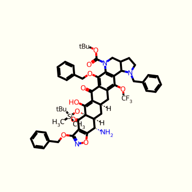 CC(C)(C)OC(=O)N1CC2CCN(Cc3ccccc3)C2c2c(OC(F)(F)F)c3c(c(OCc4ccccc4)c21)C(=O)C1=C(O)[C@]2(O[Si](C)(C)C(C)(C)C)C(=O)c4c(OCc5ccccc5)noc4[C@@H](N)[C@@H]2C[C@@H]1C3